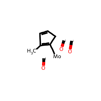 CC1=[C]([Mo])CC=C1.[C]=O.[C]=O.[C]=O